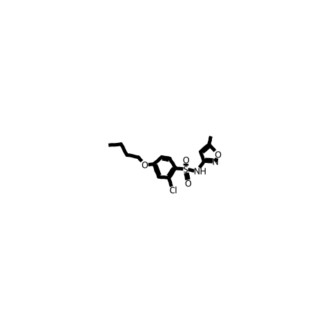 CCCCOc1ccc(S(=O)(=O)Nc2cc(C)on2)c(Cl)c1